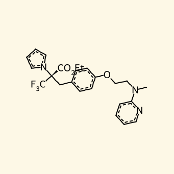 CCOC(=O)[C@](Cc1ccc(OCCN(C)c2ccccn2)cc1)(n1cccc1)C(F)(F)F